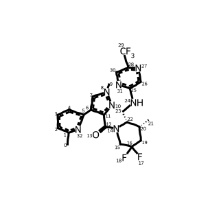 Cc1cccc(-c2cn(C)nc2C(=O)N2CC(F)(F)C[C@@H](C)[C@H]2CNc2cnc(C(F)(F)F)cn2)n1